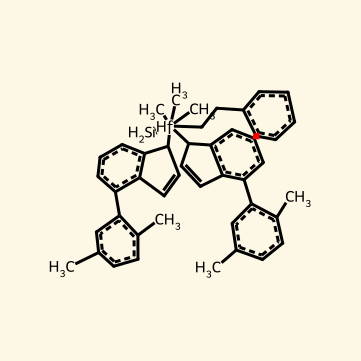 Cc1ccc(C)c(-c2cccc3c2C=C[CH]3[Hf]([CH3])([CH3])([CH3])(=[SiH2])([CH2]Cc2ccccc2)[CH]2C=Cc3c(-c4cc(C)ccc4C)cccc32)c1